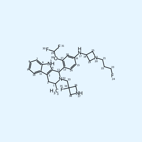 CC1Cc2c([nH]c3ccccc23)C(c2ccc(NC3CN(CCCF)C3)cc2OC(F)F)N1CC1(F)CNC1